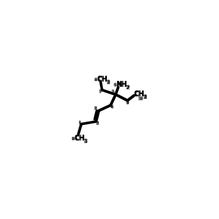 CCC=CCC(N)(CC)CC